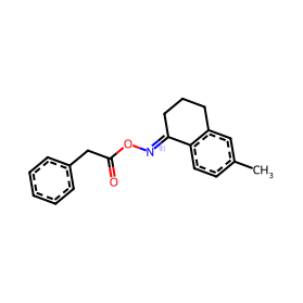 Cc1ccc2c(c1)CCC/C2=N\OC(=O)Cc1ccccc1